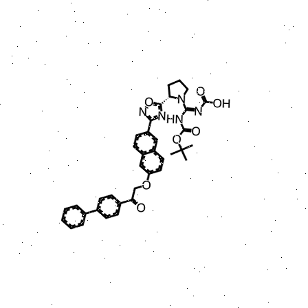 CC(C)(C)OC(=O)N/C(=N/C(=O)O)N1CCC[C@H]1c1nc(-c2ccc3cc(OCC(=O)c4ccc(-c5ccccc5)cc4)ccc3c2)no1